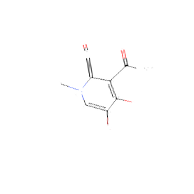 COC(=O)C1=C(O)C(Br)=CN(C)C1=C=O